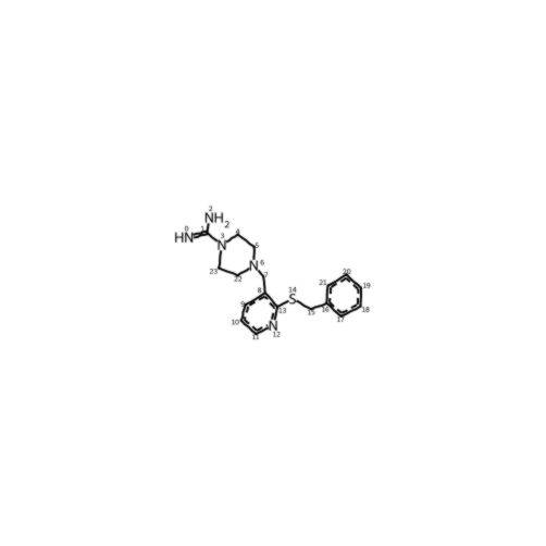 N=C(N)N1CCN(Cc2cccnc2SCc2ccccc2)CC1